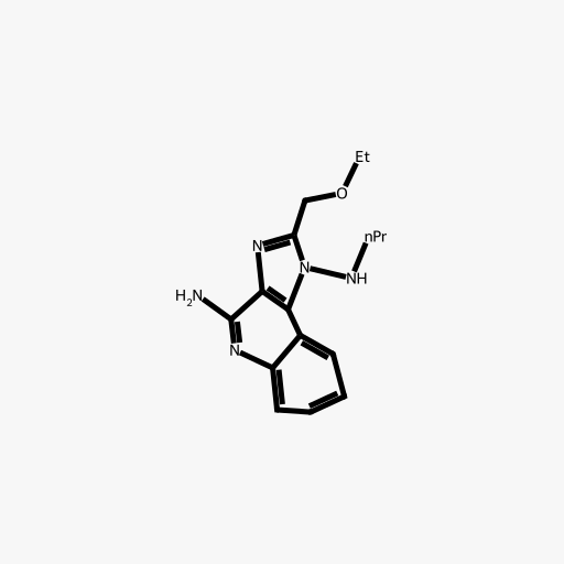 [CH2]CCNn1c(COCC)nc2c(N)nc3ccccc3c21